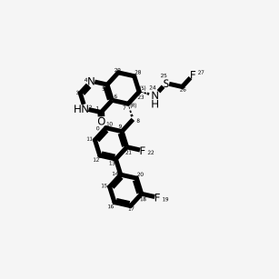 O=c1[nH]cnc2c1[C@@H](Cc1cccc(-c3cccc(F)c3)c1F)[C@@H](NSCF)CC2